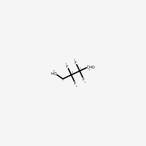 O=CC(F)(F)C(F)(F)CO